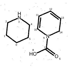 C1CCNCC1.O=C(O)N1C=CC=CC1